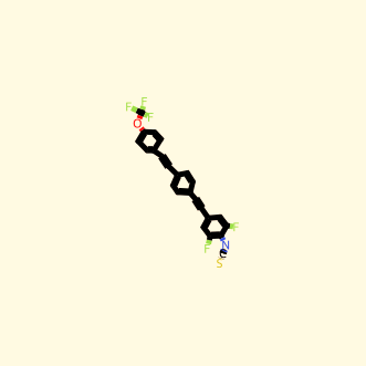 Fc1cc(C#Cc2ccc(C#Cc3ccc(OC(F)(F)F)cc3)cc2)cc(F)c1N=C=S